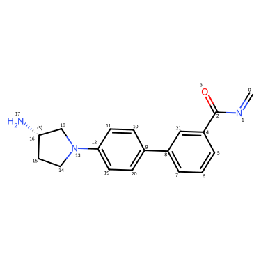 C=NC(=O)c1cccc(-c2ccc(N3CC[C@H](N)C3)cc2)c1